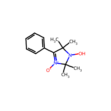 CC1(C)C(c2ccccc2)=[N+]([O-])C(C)(C)N1O